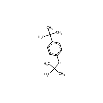 CC(C)(C)Oc1ccc(C(C)(C)C)cc1